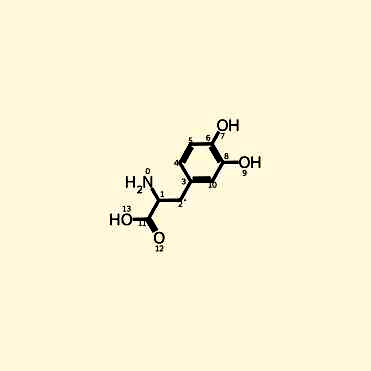 NC([CH]c1ccc(O)c(O)c1)C(=O)O